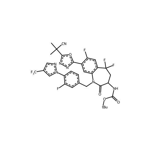 CC(C)(C)OC(=O)NC1CC(F)(F)c2cc(F)c(-c3nnc(C(C)(C)C#N)o3)cc2N(Cc2ccc(-n3cc(C(F)(F)F)cn3)c(F)c2)C1=O